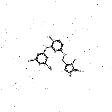 Cn1c(COc2ccc(Cl)c(Oc3cc(Cl)cc(C#N)c3)c2)n[nH]c1=O